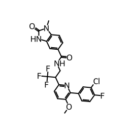 COc1ccc(C(CNC(=O)c2ccc3c(c2)[nH]c(=O)n3C)C(F)(F)F)nc1-c1ccc(F)c(Cl)c1